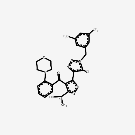 C[C@@H](O)c1onc(-c2nnn(Cc3cc(C(F)(F)F)cc(C(F)(F)F)c3)c2Cl)c1C(=O)c1ccccc1N1CCOCC1